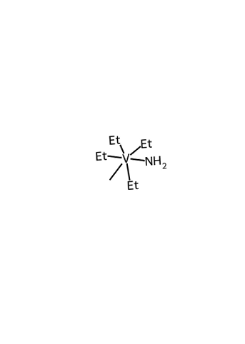 C[CH2][V]([CH3])([NH2])([CH2]C)([CH2]C)[CH2]C